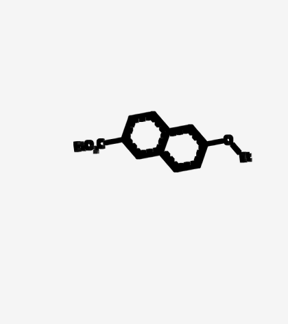 CCOC(=O)c1ccc2cc(OCC)ccc2c1